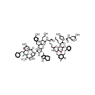 CCCC[C@@H](C(=O)N1C[C@H](O)C[C@@H]1C(=O)N[C@H](C=O)CC(=O)O)N(C)C(=O)[C@H](Cc1ccccc1)N(C)C(=O)[C@H](Cc1cc(F)c(F)c(F)c1)NC(=O)CSC[C@@H](C=O)NC(=O)[C@H](CCO)NC(=O)[C@H](Cc1ccc(O)cc1)NC(=O)[C@H](Cc1c[nH]c2ccccc12)NC(=O)[C@H]1C[C@@H](O)CN1C(=O)[C@H](CC(=O)O)NC(=O)[C@H](Cc1ccccc1)N(C)C(=O)[C@@H](N)C(C)C